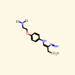 CCN(CC)CCOc1ccc(N/C=C(/CC(=O)O)N=N)cc1